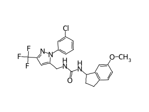 COc1ccc2c(c1)C(NC(=O)NCc1cc(C(F)(F)F)nn1-c1cccc(Cl)c1)CC2